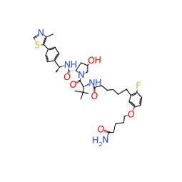 Cc1ncsc1-c1ccc([C@H](C)NC(=O)[C@@H]2C[C@@H](O)CN2C(=O)[C@@H](NC(=O)CCCCCc2cc(OCCCCC(N)=O)ccc2F)C(C)(C)C)cc1